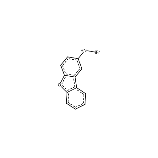 CC(C)Nc1ccc2oc3ccccc3c2c1